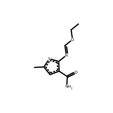 CCOC=Nc1sc(C)cc1C(N)=O